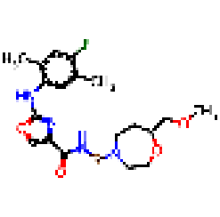 COCC1CCN(SNC(=O)c2coc(Nc3cc(C)c(F)cc3C)n2)CCO1